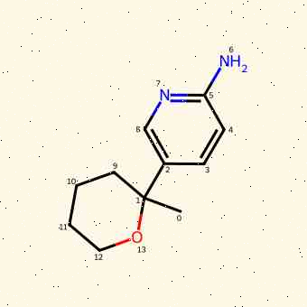 CC1(c2ccc(N)nc2)CCCCO1